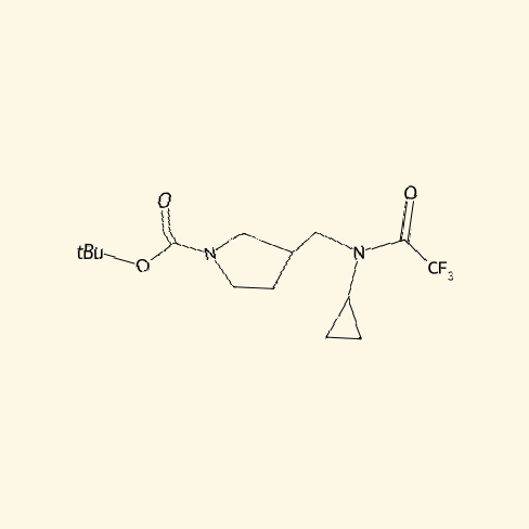 CC(C)(C)OC(=O)N1CCC(CN(C(=O)C(F)(F)F)C2CC2)C1